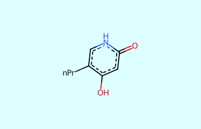 CCCc1c[nH]c(=O)cc1O